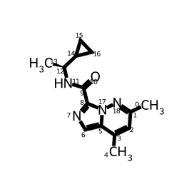 Cc1cc(C)c2cnc(C(=O)N[C@@H](C)C3CC3)n2n1